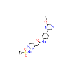 CCOc1cncc(-c2ccc(NC(=O)Cc3ccnc(NS(=O)(=O)C4CC4)n3)cc2)n1